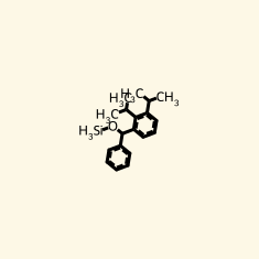 CC(C)c1cccc(C(O[SiH3])c2ccccc2)c1C(C)C